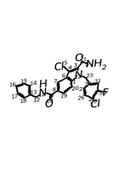 NC(=O)c1c(Cl)c2cc(C(=O)NCc3ccccc3)ccc2n1Cc1ccc(Cl)c(F)c1